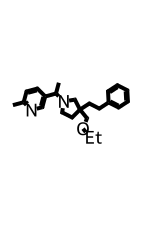 CCOCC1(CCc2ccccc2)CCN(C(C)c2ccc(C)nc2)C1